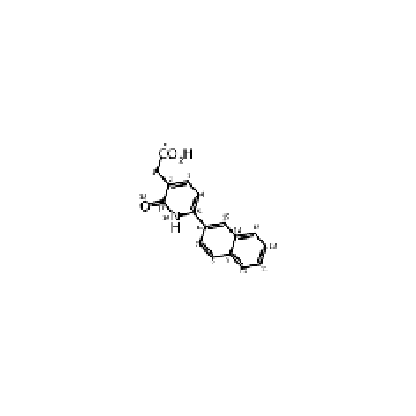 O=C(O)Cc1ccc(-c2ccc3ccccc3c2)[nH]c1=O